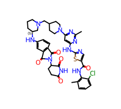 Cc1nc(Nc2ncc(C(=O)Nc3c(C)cccc3Cl)s2)cc(N2CCC(CN3CCC[C@H](Nc4ccc5c(c4)C(=O)N(C4CCC(=O)NC4=O)C5=O)C3)CC2)n1